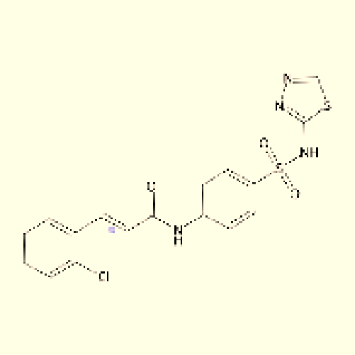 O=C(/C=C/c1ccccc1Cl)Nc1ccc(S(=O)(=O)Nc2nncs2)cc1